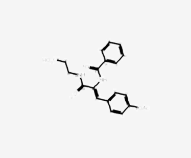 CC(=O)Oc1ccc(C=C(NC(=O)c2ccccc2)C(=O)NCCC(=O)O)cc1